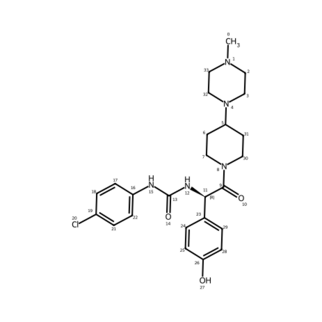 CN1CCN(C2CCN(C(=O)[C@H](NC(=O)Nc3ccc(Cl)cc3)c3ccc(O)cc3)CC2)CC1